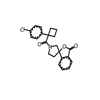 O=C1OC2(CCN(C(=O)C3(c4ccc(Cl)cc4)CCC3)C2)c2ccccc21